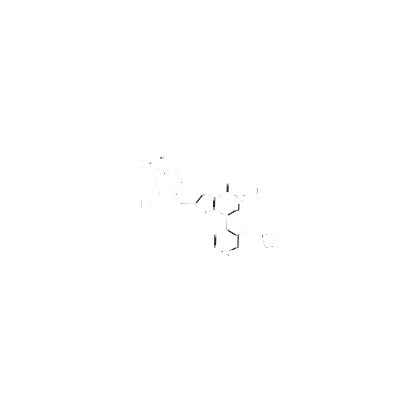 CC1CN(S(C)(=O)=O)CCN1Cc1cc2c(=O)n(C)cc(-c3ccncc3OC3COC3)c2o1